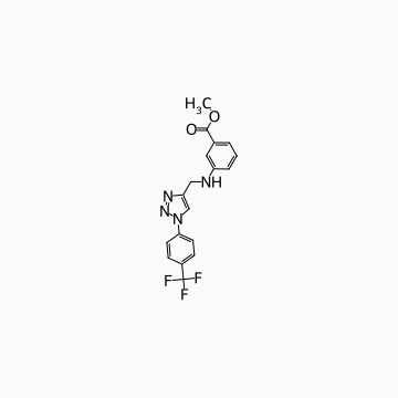 COC(=O)c1cccc(NCc2cn(-c3ccc(C(F)(F)F)cc3)nn2)c1